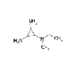 CCN(C)C1C(N)C1N